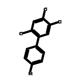 CCc1ccc(-c2cc(Cl)c(Cl)cc2Cl)cc1